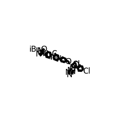 CCC(C)n1ncn(-c2ccc(N3CCN(c4ccc(OC[C@@H]5CO[C@@](Cn6cnnn6)(c6ccc(Cl)cc6Cl)O5)cc4)CC3C)cc2)c1=O